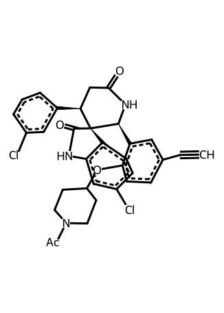 C#Cc1ccc(OC2CCN(C(C)=O)CC2)c([C@@H]2NC(=O)C[C@H](c3cccc(Cl)c3)[C@@]23C(=O)Nc2cc(Cl)ccc23)c1